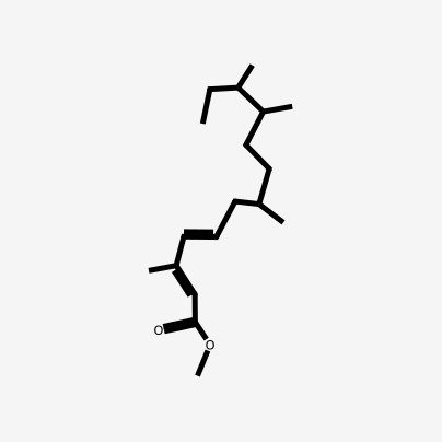 CCC(C)C(C)CCC(C)CC=CC(C)=CC(=O)OC